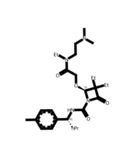 CCC[C@@H](NC(=O)N1C(=O)C(CC)(CC)[C@@H]1OCC(=O)N(CC)CCN(C)C)c1ccc(C)cc1